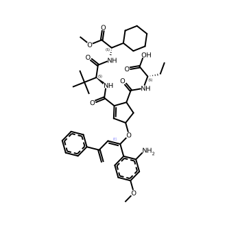 C=C(/C=C(/OC1C=C(C(=O)N[C@H](C(=O)N[C@H](C(=O)OC)C2CCCCC2)C(C)(C)C)C(C(=O)N[C@@H](CC)C(=O)O)C1)c1ccc(OC)cc1N)c1ccccc1